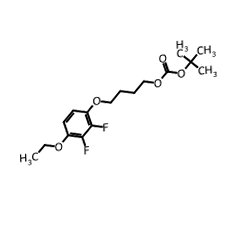 CCOc1ccc(OCCCCOC(=O)OC(C)(C)C)c(F)c1F